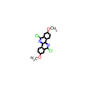 COc1ccc2c(c1)c(Cl)nc1c3ccc(OC)cc3c(Cl)nc21